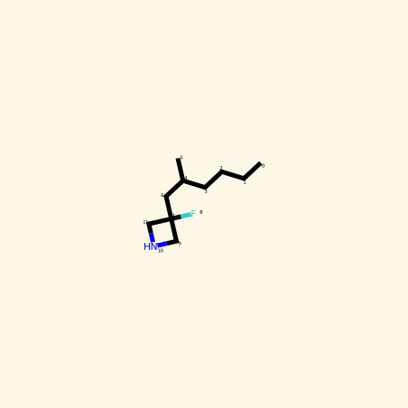 CCCCC(C)CC1(F)CNC1